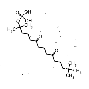 CC(C)(C)CCCC(=O)CCCC(=O)CCCC(C)(C)OP(=O)(O)O